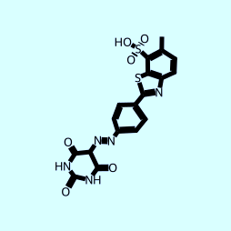 Cc1ccc2nc(-c3ccc(N=NC4C(=O)NC(=O)NC4=O)cc3)sc2c1S(=O)(=O)O